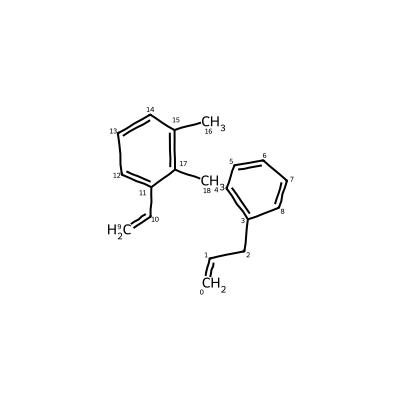 C=CCc1ccccc1.C=Cc1cccc(C)c1C